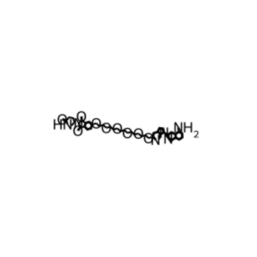 Nc1cccc2cnc(-n3ccc4cc(OCCOCCOCCOCCOCCOc5ccc6c(c5)C(=O)N(C5CCC(=O)NC5)C6=O)ncc43)cc12